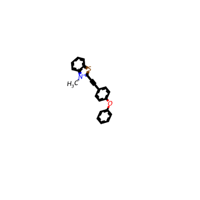 C[n+]1c(C#Cc2ccc(Oc3ccccc3)cc2)sc2ccccc21